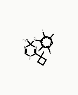 CC1(C2=NC(N)(Nc3c(F)c(F)cc(F)c3F)N=CN2)CCC1